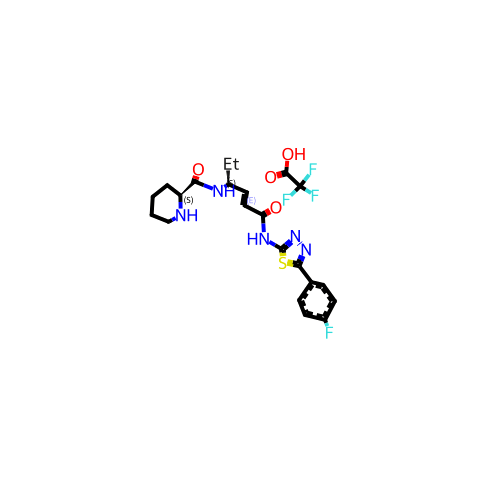 CC[C@@H](/C=C/C(=O)Nc1nnc(-c2ccc(F)cc2)s1)NC(=O)[C@@H]1CCCCN1.O=C(O)C(F)(F)F